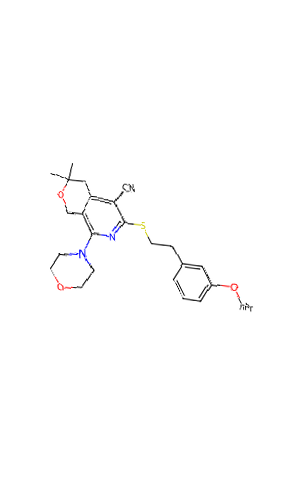 CCCOc1cccc(CCSc2nc(N3CCOCC3)c3c(c2C#N)CC(C)(C)OC3)c1